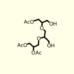 CC(=O)OCC(CO)OCC(CO)OCC(COC(C)=O)OC(C)=O